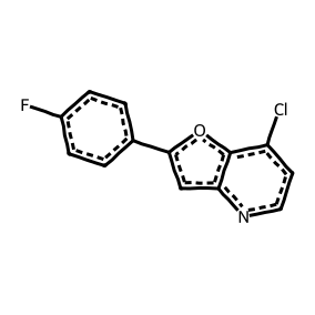 Fc1ccc(-c2cc3nccc(Cl)c3o2)cc1